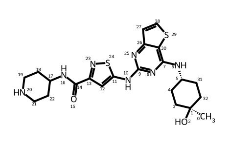 C[C@]1(O)CC[C@H](Nc2nc(Nc3cc(C(=O)NC4CCNCC4)ns3)nc3ccsc23)CC1